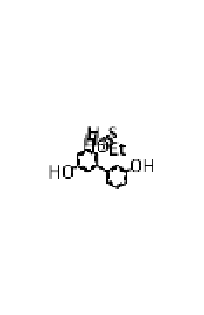 CCO.Oc1cccc(-c2cccc(O)c2)c1.S.S